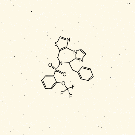 O=S(=O)(c1ccccc1OC(F)(F)F)N1Cc2scnc2-n2ccnc2C1Cc1ccccc1